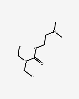 [CH2][CH]N([CH][CH2])C(=O)OCCN(C)C